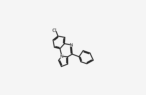 Clc1ccc2c(c1)nc(-c1ccccc1)c1cccn12